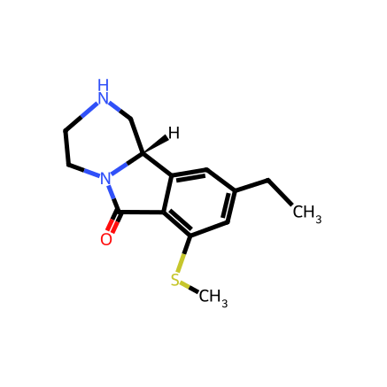 CCc1cc(SC)c2c(c1)[C@H]1CNCCN1C2=O